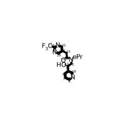 CCCN(C[C@@H](O)c1cccnc1)C(=O)Cc1cnc(C(F)(F)F)nc1